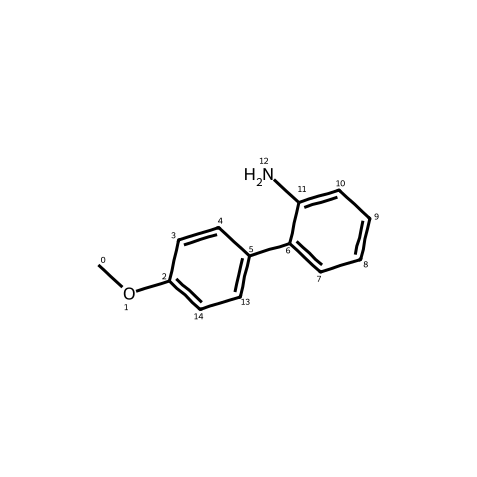 COc1ccc(-c2ccccc2N)cc1